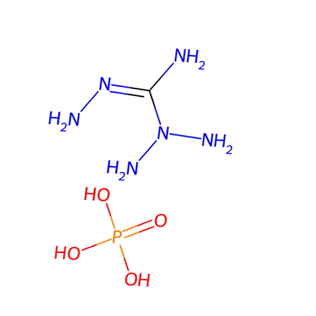 NN=C(N)N(N)N.O=P(O)(O)O